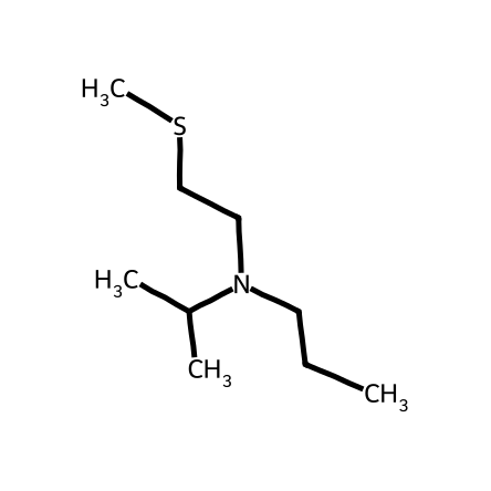 CCCN(CCSC)C(C)C